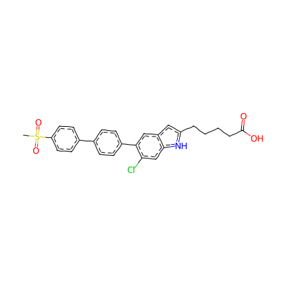 CS(=O)(=O)c1ccc(-c2ccc(-c3cc4cc(CCCCC(=O)O)[nH]c4cc3Cl)cc2)cc1